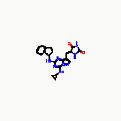 O=C1NC(=O)/C(=C/c2cnn3c(NC4CC4)nc(NC4CCc5ccccc54)nc23)N1